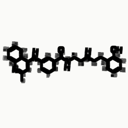 Cc1cc(Nc2cccc(C(=O)NCCNCCc3ccccc3O)c2)c2ccccc2n1